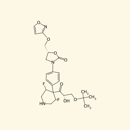 CC(C)(C)OC[C@H](O)C(=O)C1(c2ccc(N3C[C@H](COc4ccon4)OC3=O)cc2)C(F)CNCC1F